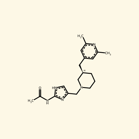 CC(=O)Nc1nc(CN2CCC[C@H](Cc3cc(C)nc(C)c3)C2)c[nH]1